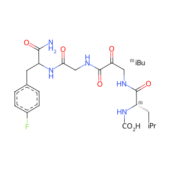 CC[C@H](C)C(NC(=O)[C@H](CC(C)C)NC(=O)O)C(=O)C(=O)NCC(=O)NC(Cc1ccc(F)cc1)C(N)=O